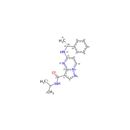 CC(C)NC(=O)c1cnn2ccc(N[C@H](C)c3ccccc3)nc12